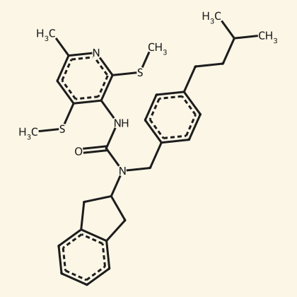 CSc1cc(C)nc(SC)c1NC(=O)N(Cc1ccc(CCC(C)C)cc1)C1Cc2ccccc2C1